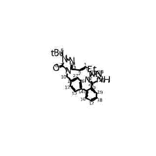 CC/C=C/c1nn(C(C)(C)C)c(=O)n1Cc1ccc(-c2ccccc2-c2nnn[nH]2)cc1